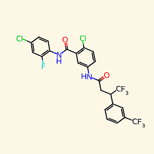 O=C(CC(c1cccc(C(F)(F)F)c1)C(F)(F)F)Nc1ccc(Cl)c(C(=O)Nc2ccc(Cl)cc2F)c1